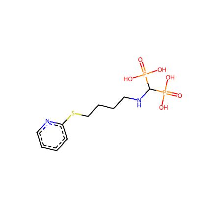 O=P(O)(O)C(NCCCCSc1ccccn1)P(=O)(O)O